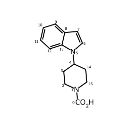 O=C(O)N1CCC(n2ccc3ccccc32)CC1